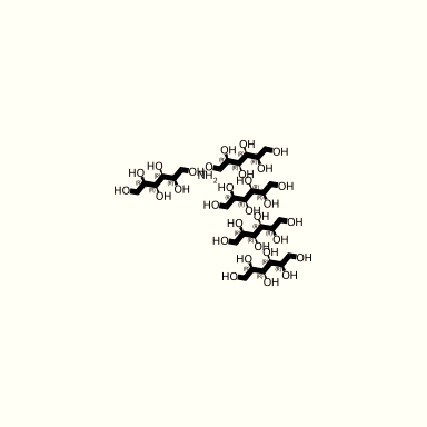 NOC[C@@H](O)[C@@H](O)[C@H](O)[C@H](O)CO.OC[C@@H](O)[C@@H](O)[C@H](O)[C@H](O)CO.OC[C@@H](O)[C@@H](O)[C@H](O)[C@H](O)CO.OC[C@@H](O)[C@@H](O)[C@H](O)[C@H](O)CO.OC[C@@H](O)[C@@H](O)[C@H](O)[C@H](O)CO